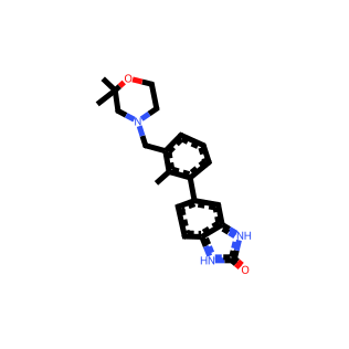 Cc1c(CN2CCOC(C)(C)C2)cccc1-c1ccc2[nH]c(=O)[nH]c2c1